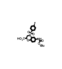 CC(C)(C)OC(=O)Nc1ccc2c(c1)N(S(=O)(=O)c1ccc(F)cc1)CC(C(=O)O)O2